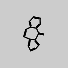 C=C1c2ccccc2C=Cc2ccccc21